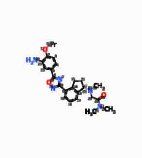 CC(C)Oc1ccc(-c2nc(-c3cccc4c3CC[C@@H]4N(C)CC(=O)N(C)C)no2)cc1N